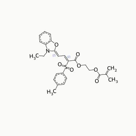 C=C(C)C(=O)OCCOC(=O)/C(=C/C=C1\Oc2ccccc2N1CC)S(=O)(=O)c1ccc(C)cc1